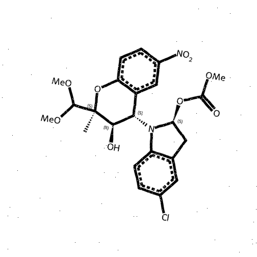 COC(=O)O[C@H]1Cc2cc(Cl)ccc2N1[C@H]1c2cc([N+](=O)[O-])ccc2O[C@](C)(C(OC)OC)[C@@H]1O